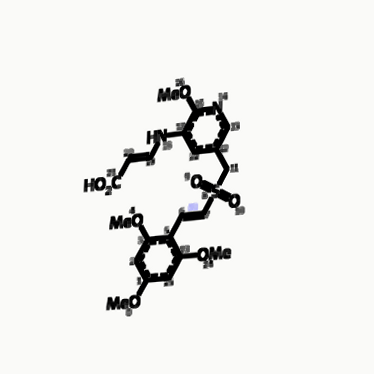 COc1cc(OC)c(/C=C/S(=O)(=O)Cc2cnc(OC)c(NC=CC(=O)O)c2)c(OC)c1